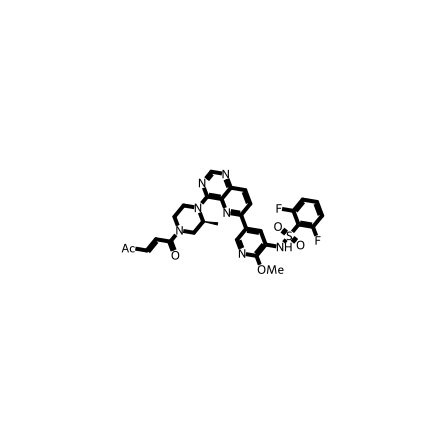 COc1ncc(-c2ccc3ncnc(N4CCN(C(=O)/C=C/C(C)=O)C[C@@H]4C)c3n2)cc1NS(=O)(=O)c1c(F)cccc1F